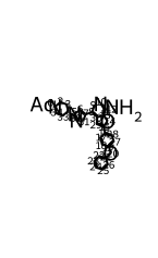 CC(=O)N1CCC(n2cc(-c3cnc(N)c4oc(-c5ccc(Oc6ccccc6)cc5)cc34)cn2)CC1